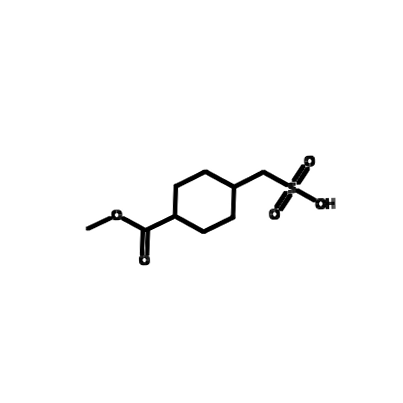 COC(=O)C1CCC(CS(=O)(=O)O)CC1